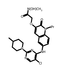 CC1CCN(c2ncc(Cl)c(Nc3ccc4c(c3)cc(OCC(=O)N(C)O)c(=O)n4C(C)C)n2)CC1